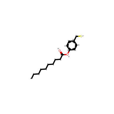 CCCCCCCCCC(=O)Oc1ccc(C[S])cc1